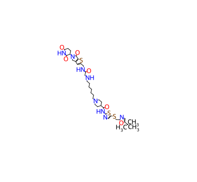 CC(C)(C)c1cnc(CSc2cnc(NC(=O)C3CCN(CCCCCCCNCC(=O)NCc4cc5c(s4)C(=O)N(C4CCC(=O)NC4=O)C5)CC3)s2)o1